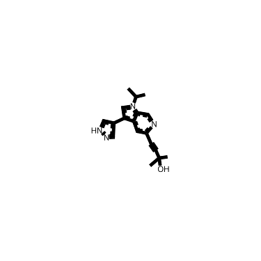 CC(C)n1cc(-c2cn[nH]c2)c2cc(C#CC(C)(C)O)ncc21